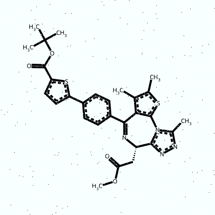 COC(=O)C[C@@H]1N=C(c2ccc(-c3ccc(C(=O)OC(C)(C)C)s3)cc2)c2c(sc(C)c2C)-n2c(C)nnc21